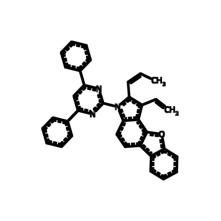 C=Cc1c(/C=C\C)n(-c2nc(-c3ccccc3)cc(-c3ccccc3)n2)c2ccc3c4ccccc4oc3c12